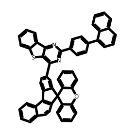 c1ccc2c(c1)Oc1ccccc1C21c2cc(-c3nc(-c4ccc(-c5cccc6ccccc56)cc4)nc4c3sc3ccccc34)ccc2-c2c1ccc1ccccc21